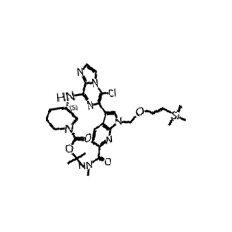 CNC(=O)c1ccc2c(-c3nc(N[C@H]4CCCN(C(=O)OC(C)(C)C)C4)c4nccn4c3Cl)cn(COCC[Si](C)(C)C)c2n1